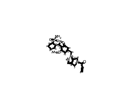 C#CC(=O)N1Cc2cnn(Cc3cc(OC)c4c(-c5ccccc5S(N)(=O)=O)noc4c3)c2C1